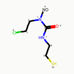 O=NN(CCCl)C(=O)NCCS